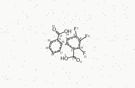 O=C(O)c1ccc(F)c(F)c1F.O=C(O)c1ccccc1